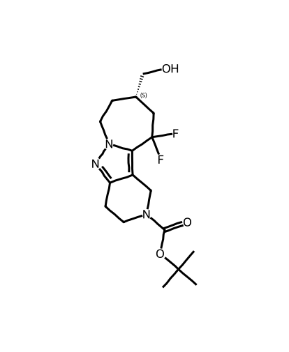 CC(C)(C)OC(=O)N1CCc2nn3c(c2C1)C(F)(F)C[C@@H](CO)CC3